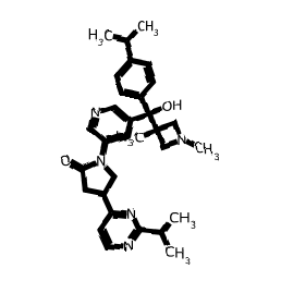 CC(C)c1ccc(C(O)(c2cncc(N3CC(c4ccnc(C(C)C)n4)CC3=O)c2)C2(C)CN(C)C2)cc1